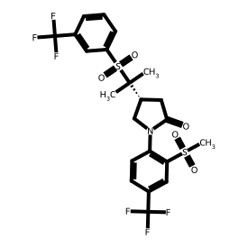 CC(C)([C@@H]1CC(=O)N(c2ccc(C(F)(F)F)cc2S(C)(=O)=O)C1)S(=O)(=O)c1cccc(C(F)(F)F)c1